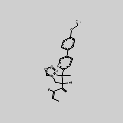 C=C(/C(F)=C\C)C(O)(Cn1cnnn1)C(C)(C)c1ccc(-c2ccc(OCC(F)(F)F)cc2)cn1